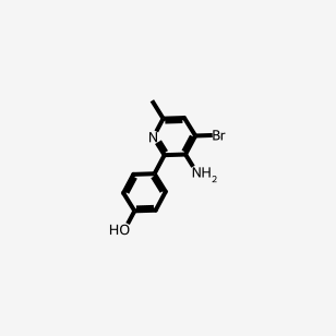 Cc1cc(Br)c(N)c(-c2ccc(O)cc2)n1